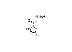 CCCCCCCCC(=O)C1NOC(CC)C1C